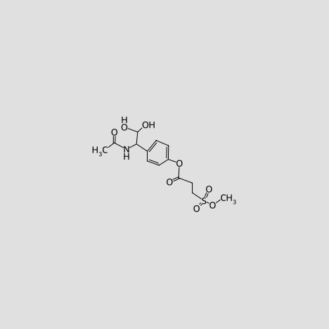 COS(=O)(=O)CCC(=O)Oc1ccc(C(NC(C)=O)C(O)O)cc1